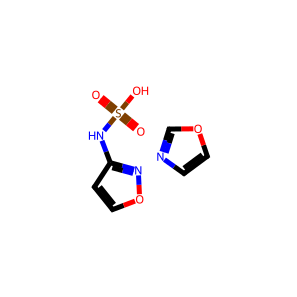 O=S(=O)(O)Nc1ccon1.c1cocn1